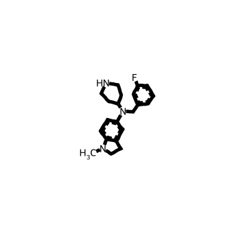 CN1CCc2cc(N(Cc3cccc(F)c3)C3CCNCC3)ccc21